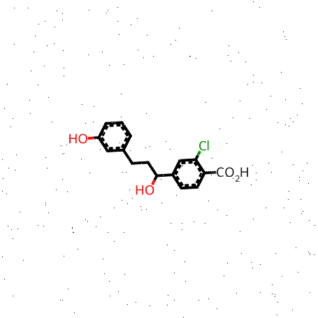 O=C(O)c1ccc(C(O)CCc2cccc(O)c2)cc1Cl